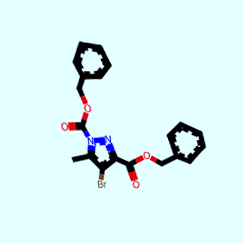 Cc1c(Br)c(C(=O)OCc2ccccc2)nn1C(=O)OCc1ccccc1